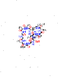 CC(C)C[C@H](NC(=O)[C@H](CC(C)C)NC(=O)[C@H](CC(C)C)NC(=O)[C@@H](NC(=O)[C@H](CC(C)C)NC(=O)[C@H](CO)NC(=O)CNC(=O)[C@H](CC(C)C)NC(=O)[C@H](CC(C)C)NC(=O)CNC(=O)CNC(=O)[C@@H](NC(=O)[C@@H](NC(=O)[C@@H](N)C(C)C)C(C)C)C(C)C)C(C)C)C(=O)O